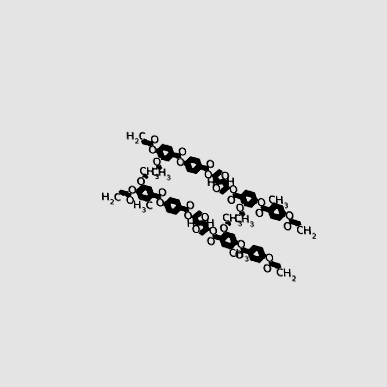 C=CC(=O)Oc1ccc(C(=O)Oc2cc(OCC)c(C(=O)O[C@H]3CO[C@H]4[C@@H]3OC[C@H]4OC(=O)c3ccc(OC(=O)c4cc(OCC)c(OC(=O)C=C)cc4C)cc3)cc2C)cc1.C=CC(=O)Oc1ccc(C(=O)Oc2ccc(C(=O)O[C@@H]3CO[C@H]4[C@@H]3OC[C@@H]4OC(=O)c3ccc(OC(=O)c4ccc(OC(=O)C=C)c(OCC)c4)cc3)c(OCC)c2)c(C)c1